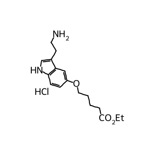 CCOC(=O)CCCCOc1ccc2[nH]cc(CCN)c2c1.Cl